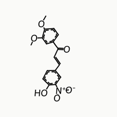 COc1ccc(C(=O)/C=C/c2ccc(O)c([N+](=O)[O-])c2)cc1OC